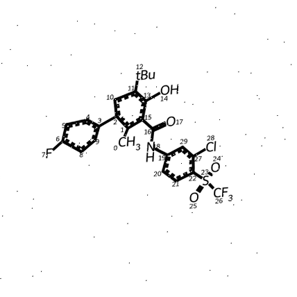 Cc1c(-c2ccc(F)cc2)cc(C(C)(C)C)c(O)c1C(=O)Nc1ccc(S(=O)(=O)C(F)(F)F)c(Cl)c1